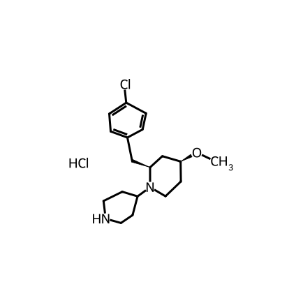 CO[C@H]1CCN(C2CCNCC2)[C@@H](Cc2ccc(Cl)cc2)C1.Cl